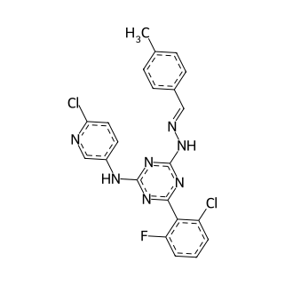 Cc1ccc(C=NNc2nc(Nc3ccc(Cl)nc3)nc(-c3c(F)cccc3Cl)n2)cc1